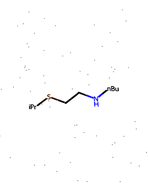 CCCCNCCSC(C)C